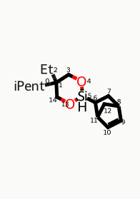 CCCC(C)C1(CC)CO[SiH](C2CC3C=CC2C3)OC1